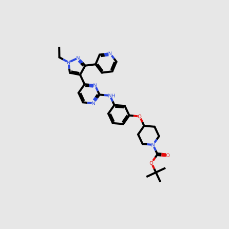 CCn1cc(-c2ccnc(Nc3cccc(OC4CCN(C(=O)OC(C)(C)C)CC4)c3)n2)c(-c2cccnc2)n1